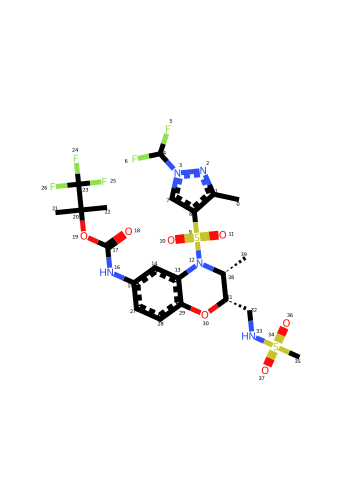 Cc1nn(C(F)F)cc1S(=O)(=O)N1c2cc(NC(=O)OC(C)(C)C(F)(F)F)ccc2O[C@@H](CNS(C)(=O)=O)[C@H]1C